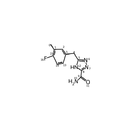 Cc1cc(Cc2nnc(C(N)=O)[nH]2)ccc1F